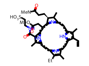 C=Cc1c(C)c2cc3nc(c(CC(=O)OC)c4[nH]c(cc5nc(cc1[nH]2)C(C)=C5CC)c(C)c4C(=O)NCCS(=O)(=O)O)[C@@H](CCC(=O)NC)C3C